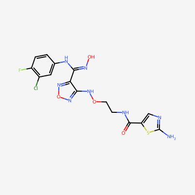 Nc1ncc(C(=O)NCCONc2nonc2/C(=N/O)Nc2ccc(F)c(Cl)c2)s1